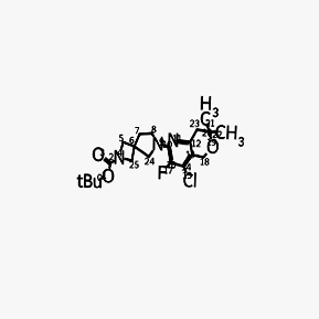 CC(C)(C)OC(=O)N1CC2(CCN(c3nc4c(c(Cl)c3F)COC(C)(C)C4)C2)C1